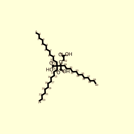 CCCCCCCCCCCCC(CCCCCCCCCCCC)(C(=O)O)C(CCCCCCCCCCCC)(OCC(=O)O)C(=O)O